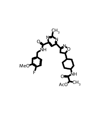 COc1cc(CNC(=O)c2cc(C3=NOC(C4CCC(NC(=O)C(C)OC(C)=O)CC4)C3)nc(C)n2)ccc1F